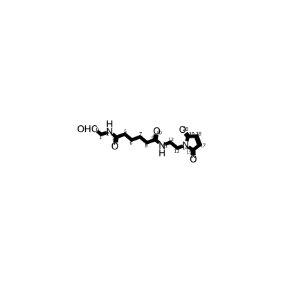 O=CCNC(=O)CCCCC(=O)NCCN1C(=O)C=CC1=O